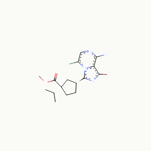 COC(=O)[C@]1(C(C)C)CC[C@H](c2nc(Br)c3c(N)ncc(Cl)n23)C1